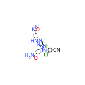 N#Cc1cc(F)c(Nc2nc3cnc(NC4CCC(c5ncno5)CC4)nc3n2[C@H]2CC[C@@H](C(N)=O)CC2)c(Cl)c1